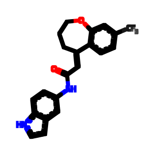 O=C(/C=C1\CCCOc2cc(C(F)(F)F)ccc21)Nc1ccc2[nH]ccc2c1